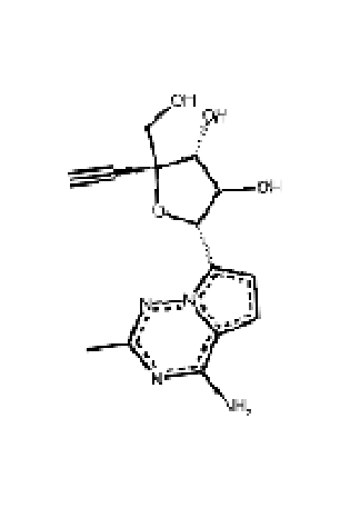 C#C[C@]1(CO)O[C@@H](c2ccc3c(N)nc(C)nn23)C(O)[C@H]1O